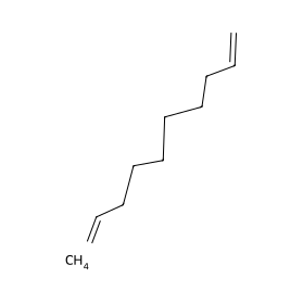 C.C=CCCCCCCC=C